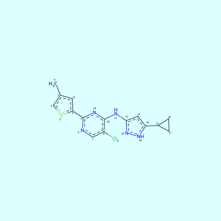 Cc1csc(-c2ncc(Cl)c(Nc3cc(C4CC4)[nH]n3)n2)c1